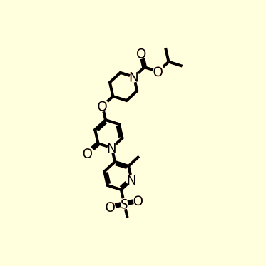 Cc1nc(S(C)(=O)=O)ccc1-n1ccc(OC2CCN(C(=O)OC(C)C)CC2)cc1=O